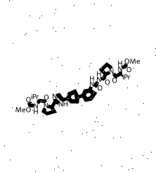 COC(=O)NC(C(=O)N1CCCC1c1ncc(-c2ccc(-c3cccc(NC(=O)NC(=O)C4CCCN4C(=O)[C@@H](NC(=O)OC)C(C)C)c3)cc2)[nH]1)C(C)C